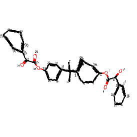 CC(C)(c1ccc(OC(=O)C(=O)c2ccccc2)cc1)c1ccc(OC(=O)C(=O)c2ccccc2)cc1